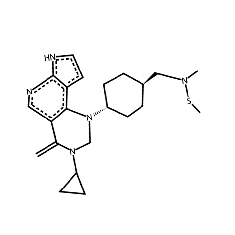 C=C1c2cnc3[nH]ccc3c2N([C@H]2CC[C@H](CN(C)SC)CC2)CN1C1CC1